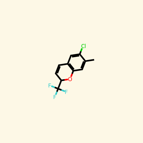 Cc1cc2c(cc1Cl)C=CC(C(F)(F)F)O2